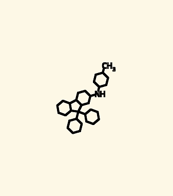 CC1CCC(NC2CCC3C4CCCCC4C(C4CCCCC4)(C4CCCCC4)C3C2)CC1